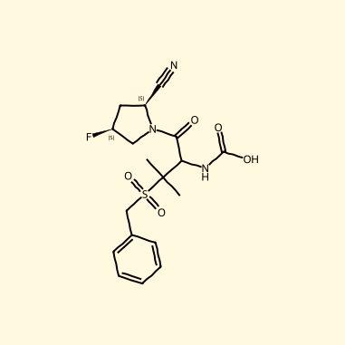 CC(C)(C(NC(=O)O)C(=O)N1C[C@@H](F)C[C@H]1C#N)S(=O)(=O)Cc1ccccc1